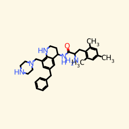 Cc1cc(C)c(CC(N)C(=O)NC2CCNc3c(CN4CCNCC4)cc(Cc4ccccc4)cc32)c(C)c1